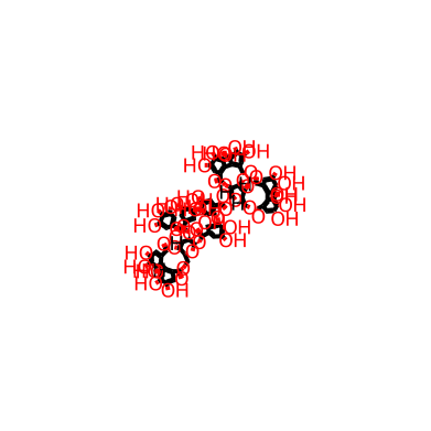 O=C1O[C@@H]2C(COC(=O)c3cc(O)c(O)c(O)c3[C@H]3C1=CC(O)=C(O)[C@H]3O)O[C@H](OC(=O)c1cc(O)c(O)c(Oc3c(C(=O)OC4O[C@@H]5COC(=O)c6cc(O)c(O)c(O)c6-c6c(cc(O)c(O)c6O)C(=O)O[C@H]5C5OC(=O)c6cc(O)c(O)c(O)c6-c6c(cc(O)c(O)c6O)C(=O)O[C@@H]45)cc(O)c(O)c3O)c1)[C@H](OC(=O)c1cc(O)c(O)c(O)c1)[C@H]2OC(=O)c1cc(O)c(O)c(O)c1